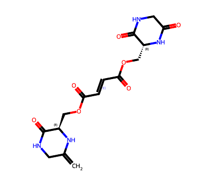 C=C1CNC(=O)[C@@H](COC(=O)/C=C/C(=O)OC[C@H]2NC(=O)CNC2=O)N1